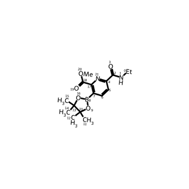 CCNC(=O)c1ccc(B2OC(C)(C)C(C)(C)O2)c(C(=O)OC)n1